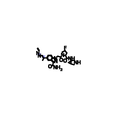 C=C/N=N\C=C(/C)c1ccc2c(c1)c(C(N)=O)nn2CC(=O)N1CC(F)CC1C(=O)NC12CNCC1C2